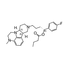 CCCC(=O)O[C@H](CCCN1CC[C@H]2[C@@H](C1)c1cccc3c1N2CCN3C)c1ccc(F)cc1